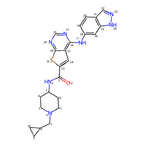 O=C(NC1CCN(CC2CC2)CC1)c1cc2c(Nc3ccc4cn[nH]c4c3)ncnc2s1